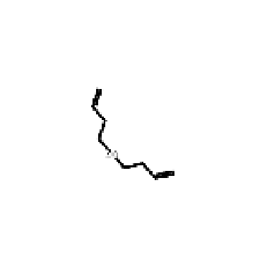 C=CC[CH2][Zn][CH2]CC=C